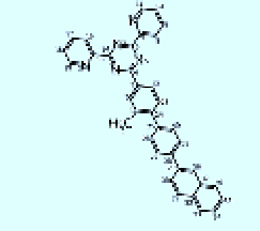 Cc1cc(-c2nc(-c3ccccn3)nc(-c3ccccn3)n2)ccc1-c1ccc(-c2ccc3ccccc3c2)cc1